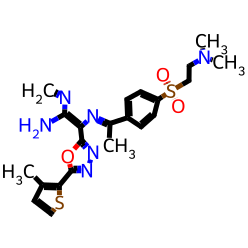 C=N/C(N)=C(\N=C(/C)c1ccc(S(=O)(=O)CCN(C)C)cc1)c1nnc(-c2sccc2C)o1